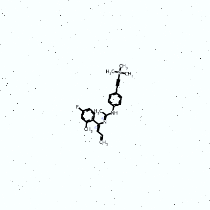 C=C/C=C(\N=C(/C)Nc1ccc(C#C[Si](C)(C)C)cc1)c1ccc(F)cc1C